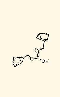 OP(OCC1CC2C=CC1C2)OCC1CC2C=CC1C2